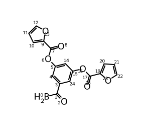 BC(=O)c1cc(OC(=O)c2ccco2)cc(OC(=O)c2ccco2)c1